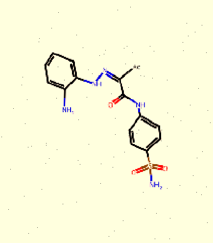 CC(=O)/C(=N/Nc1ccccc1N)C(=O)Nc1ccc(S(N)(=O)=O)cc1